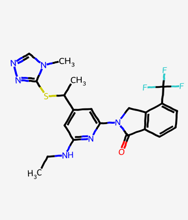 CCNc1cc(C(C)Sc2nncn2C)cc(N2Cc3c(cccc3C(F)(F)F)C2=O)n1